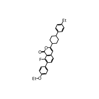 CCOc1ccc(-c2ccc3cc(C4CCC(c5ccc(CC)cc5)CC4)oc(=O)c3c2F)cc1